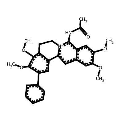 COc1cc2cc3[n+](c(NC(C)=O)c2cc1OC)CCc1c-3cc(-c2ccccc2)c(OC)c1OC